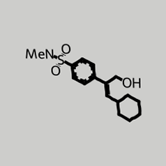 CNS(=O)(=O)c1ccc(C(=CC2CCCCC2)CO)cc1